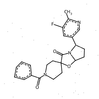 Cc1ncc(C2CCC3OC4(CCN(C(=O)c5ccccc5)CC4)C(=O)N32)cc1F